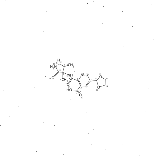 CC(C)C(C)(NC(=O)c1ncc(C2OCCO2)cc1C(=O)O)C(N)=O